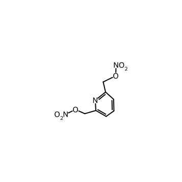 O=[N+]([O-])OCc1cccc(CO[N+](=O)[O-])n1